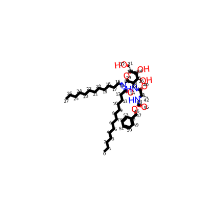 CCCCCCCCCCCCCC(=O)N(CCCCCCCCCCCC)[C@@H]1O[C@H](CO)[C@@H](O)[C@H](O)[C@H]1NC(=O)[C@H](C)NC(=O)OCc1ccccc1